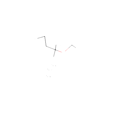 CCCCCCCCCCCCC(OCC(=O)O)(C(=O)O)C(=O)O.[NaH].[NaH].[NaH]